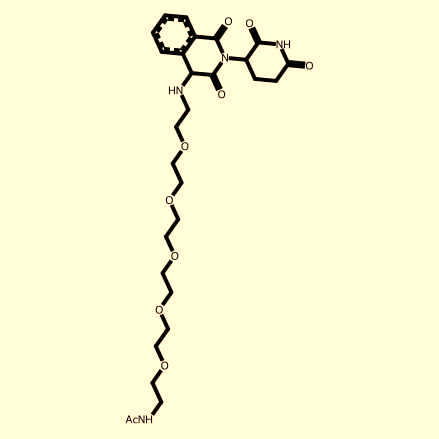 CC(=O)NCCOCCOCCOCCOCCOCCNC1C(=O)N(C2CCC(=O)NC2=O)C(=O)c2ccccc21